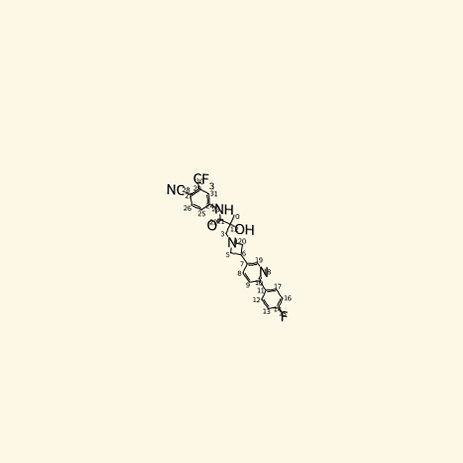 CC(O)(CN1CC(c2ccc(-c3ccc(F)cc3)nc2)C1)C(=O)Nc1ccc(C#N)c(C(F)(F)F)c1